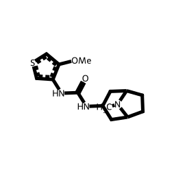 COc1cscc1NC(=O)NC1CC2CCC(C1)N2C